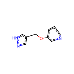 c1cncc(OCc2cn[nH]c2)c1